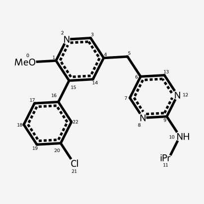 COc1ncc(Cc2cnc(NC(C)C)nc2)cc1-c1cccc(Cl)c1